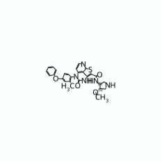 CO[C@H]1CNC[C@@H]1NC(=O)c1sc2nccc3c2c1NC(=O)N3c1ccc(Oc2ccccc2)cc1C